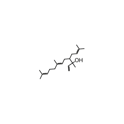 C=CC(C)(O)C(CC=C(C)C)C/C=C(\C)CCC=C(C)C